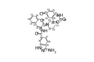 Nc1n[nH]c2cc(C(=O)N[C@@H](Cc3ccccc3)C(=O)N3CCC[C@@]4(C3)OC(=O)Nc3ccc(Cl)cc34)ccc12